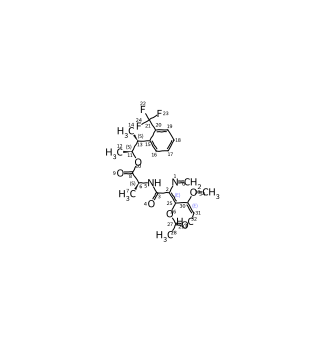 C=N/C(C(=O)N[C@@H](C)C(=O)O[C@@H](C)[C@@H](C)c1ccccc1C(F)(F)F)=C(OC(C)=O)\C(=C/C)OC